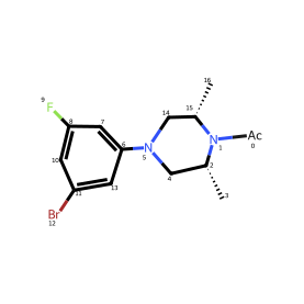 CC(=O)N1[C@H](C)CN(c2cc(F)cc(Br)c2)C[C@@H]1C